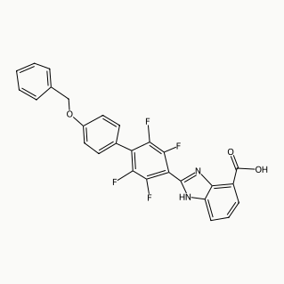 O=C(O)c1cccc2[nH]c(-c3c(F)c(F)c(-c4ccc(OCc5ccccc5)cc4)c(F)c3F)nc12